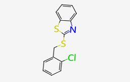 Clc1ccccc1CSc1nc2ccccc2s1